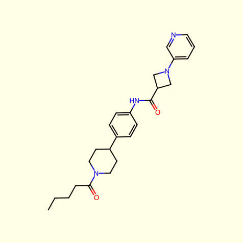 CCCCC(=O)N1CCC(c2ccc(NC(=O)C3CN(c4cccnc4)C3)cc2)CC1